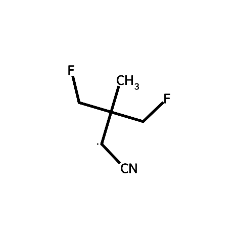 CC([CH]C#N)(CF)CF